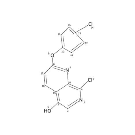 Oc1cnc(Cl)c2nc(Oc3ccc(Cl)cc3)ccc12